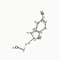 O=CCCc1nc2ccc(Br)cc2s1